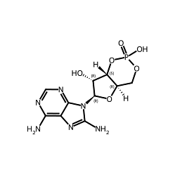 Nc1ncnc2c1nc(N)n2[C@@H]1O[C@@H]2COP(=O)(O)O[C@H]2[C@H]1O